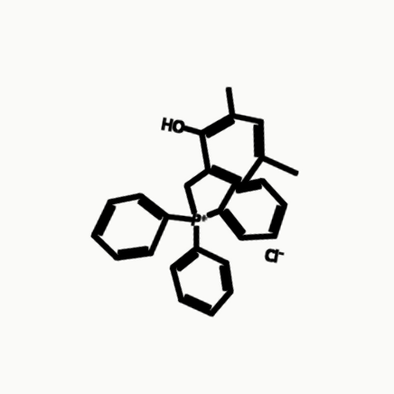 Cc1cc(C)c(O)c(C[P+](c2ccccc2)(c2ccccc2)c2ccccc2)c1.[Cl-]